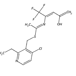 C=C(O)/C=C(\N=C(/C)SCc1c(Cl)ccnc1CC)C(F)(F)F